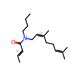 C/C=C/C(=O)N(C/C=C(/C)CCC=C(C)C)CCCC